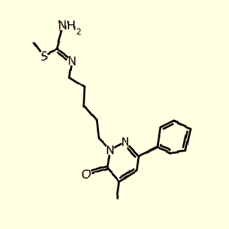 CSC(N)=NCCCCCn1nc(-c2ccccc2)cc(C)c1=O